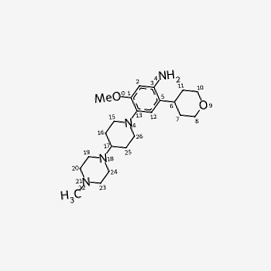 COc1cc(N)c(C2CCOCC2)cc1N1CCC(N2CCN(C)CC2)CC1